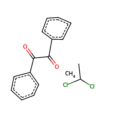 C.CC(Cl)Cl.O=C(C(=O)c1ccccc1)c1ccccc1